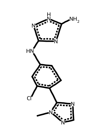 Cn1ncnc1-c1ccc(Nc2n[nH]c(N)n2)cc1Cl